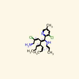 C\C=C/C(=C\CC)C(/C=C(/Cl)CN)=C(\N/C=C/C)c1ncc(C)cc1Cl